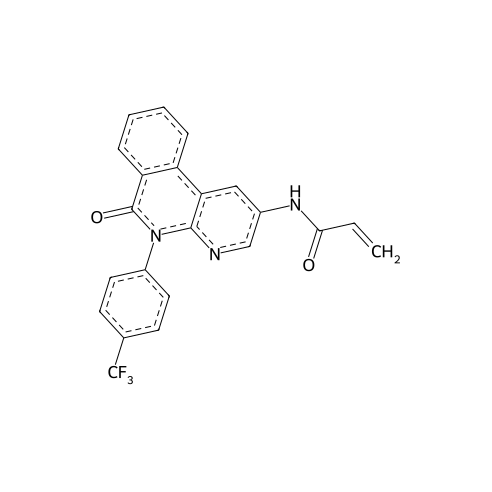 C=CC(=O)Nc1cnc2c(c1)c1ccccc1c(=O)n2-c1ccc(C(F)(F)F)cc1